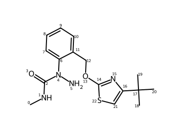 CNC(=O)N(N)c1ccccc1COc1nc(C(C)(C)C)cs1